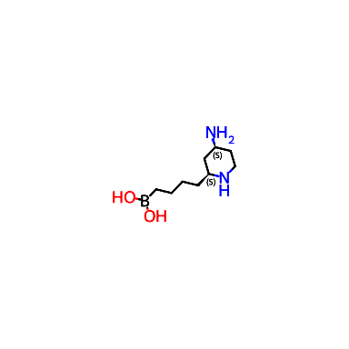 N[C@H]1CCN[C@@H](CCCCB(O)O)C1